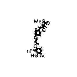 CCCc1c(OCCCOc2ccc(CC(=O)C(C)(C)C(=O)OC)cc2)ccc(C(C)=O)c1O